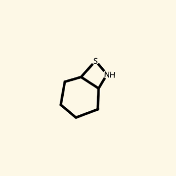 C1CCC2SNC2C1